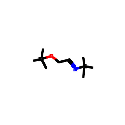 C[Si](C)(C)N=CCO[Si](C)(C)C